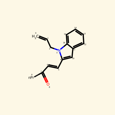 C=CCn1c(/C=C/C(=O)CCC)cc2ccccc21